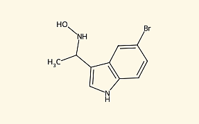 CC(NO)c1c[nH]c2ccc(Br)cc12